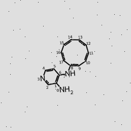 Nc1cnccc1Nc1ccccccccc1